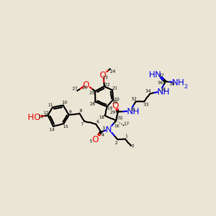 CCCN(C(=O)CCCc1ccc(O)cc1)[C@@](C)(Cc1ccc(OC)c(OC)c1)C(=O)NCCCNC(=N)N